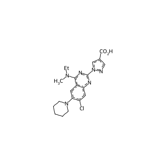 CCN(C)c1nc(-n2cc(C(=O)O)cn2)nc2cc(Cl)c(N3CCCCC3)cc12